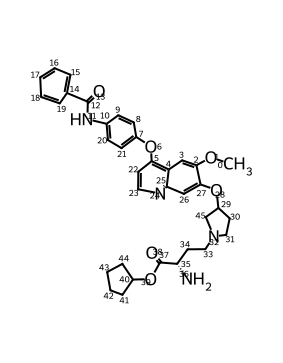 COc1cc2c(Oc3ccc(NC(=O)c4ccccc4)cc3)ccnc2cc1OC1CCN(CC[C@H](N)C(=O)OC2CCCC2)C1